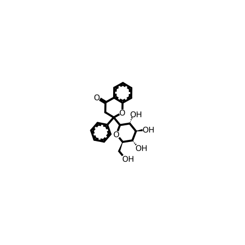 O=C1CC(c2ccccc2)(C2O[C@H](CO)[C@@H](O)[C@H](O)[C@H]2O)Oc2ccccc21